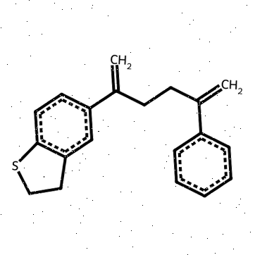 C=C(CCC(=C)c1ccc2c(c1)CCS2)c1ccccc1